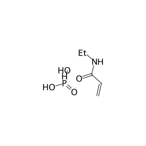 C=CC(=O)NCC.O=[PH](O)O